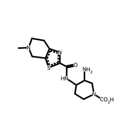 CN1CCc2nc(C(=O)NC3CCN(C(=O)O)CC3N)sc2C1